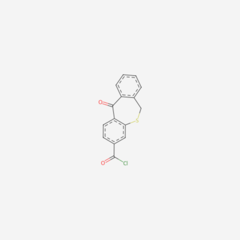 O=C(Cl)c1ccc2c(c1)SCc1ccccc1C2=O